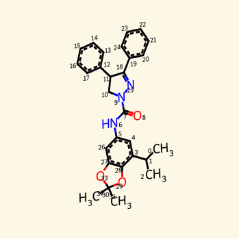 CC(C)c1cc(NC(=O)N2CC(c3ccccc3)C(c3ccccc3)=N2)cc2c1OC(C)(C)O2